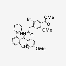 COC(=O)c1cc(Br)c(CC(=O)NN(c2ccc(OC)cc2)c2c(C)cccc2N2CCCCC2)cc1OC